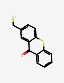 O=c1c2ccccc2sc2ccc(CS)cc12